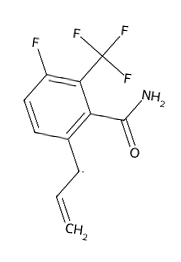 C=C[CH]c1ccc(F)c(C(F)(F)F)c1C(N)=O